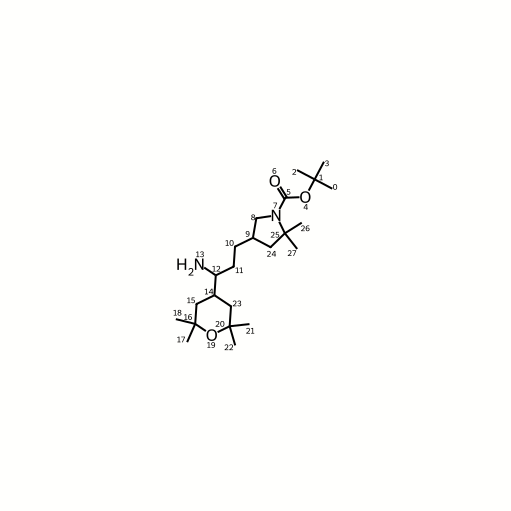 CC(C)(C)OC(=O)N1CC(CCC(N)C2CC(C)(C)OC(C)(C)C2)CC1(C)C